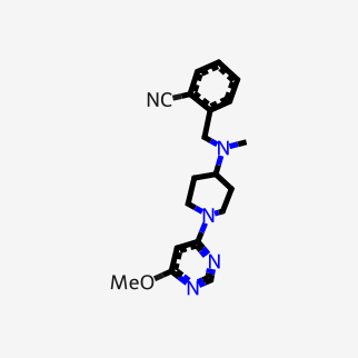 COc1cc(N2CCC(N(C)Cc3ccccc3C#N)CC2)ncn1